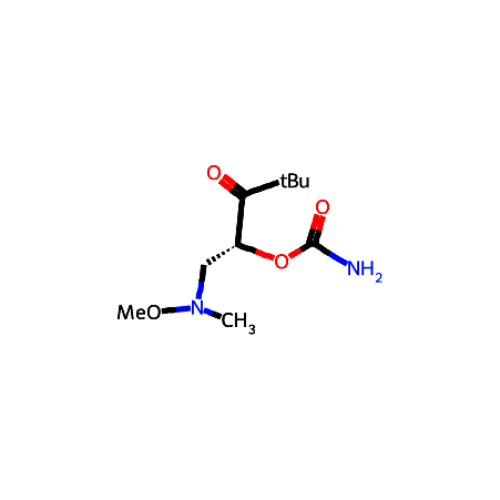 CON(C)C[C@@H](OC(N)=O)C(=O)C(C)(C)C